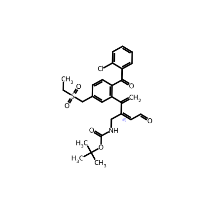 C=C(/C(=C\C=O)CNC(=O)OC(C)(C)C)c1cc(CS(=O)(=O)CC)ccc1C(=O)c1ccccc1Cl